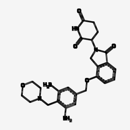 Bc1cc(COc2cccc3c2CN(C2CCC(=O)NC2=O)C3=O)cc(B)c1CN1CCOCC1